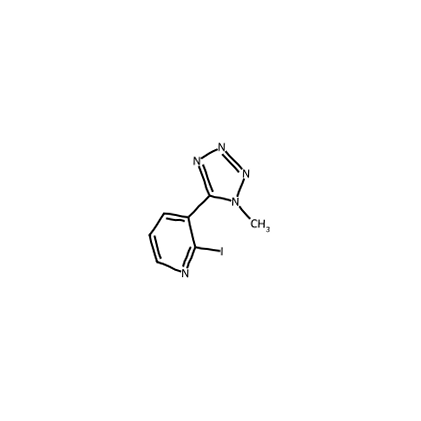 Cn1nnnc1-c1cccnc1I